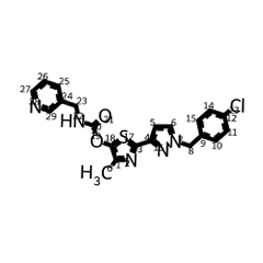 Cc1nc(-c2ccn(Cc3ccc(Cl)cc3)n2)sc1OC(=O)NCc1cccnc1